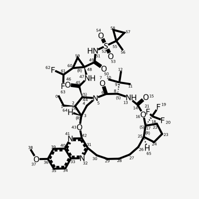 CC[C@@H]1[C@@H]2CN(C(=O)[C@H](C(C)(C)C)NC(=O)O[C@@]3(C(F)(F)F)CCC[C@H]3CCCCCc3nc4ccc(OC)cc4nc3O2)[C@@H]1C(=O)N[C@]1(C(=O)NS(=O)(=O)C2(C)CC2)CC1C(F)F